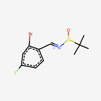 CC(C)(C)[S+]([O-])/N=C/c1ccc(F)cc1Br